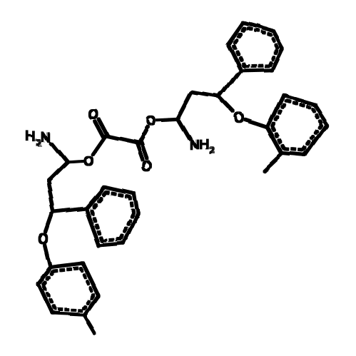 Cc1ccc(OC(CC(N)OC(=O)C(=O)OC(N)CC(Oc2ccccc2C)c2ccccc2)c2ccccc2)cc1